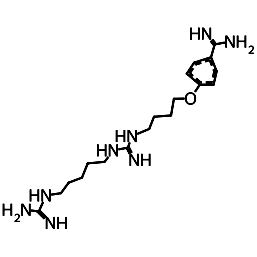 N=C(N)NCCCCCNC(=N)NCCCCOc1ccc(C(=N)N)cc1